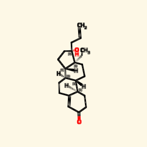 C=CC[C@]1(O)CC[C@H]2[C@@H]3CCC4=CC(=O)CC[C@@H]4[C@H]3CC[C@@]21CC